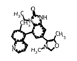 CCn1c(=O)[nH]c2cc(C3=C(C)OCN3C)cc(-c3c(C)ccc4ncccc34)c21